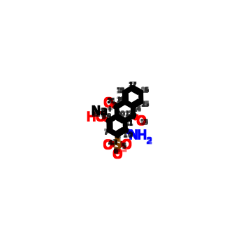 Nc1c(S(=O)(=O)[O-])cc(O)c2c1C(=O)c1ccccc1C2=O.[Na+]